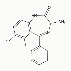 Cc1c(Cl)ccc2c1C(c1ccccc1)=NC(N)C(=O)N2